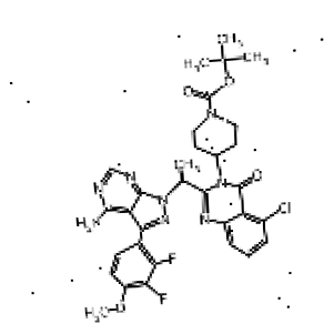 COc1ccc(-c2nn(C(C)c3nc4cccc(Cl)c4c(=O)n3C3CCN(C(=O)OC(C)(C)C)CC3)c3ncnc(N)c23)c(F)c1F